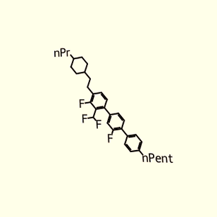 CCCCCc1ccc(-c2ccc(-c3ccc(CCC4CCC(CCC)CC4)c(F)c3C(F)F)cc2F)cc1